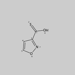 OC(=S)c1ccon1